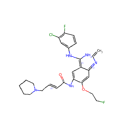 C=C/N=C1/C=C(OCCF)C(NC(=O)/C=C/CN2CCCCC2)=C/C1=C(/N)Nc1ccc(F)c(Cl)c1